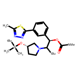 CNC(=O)O[C@H](c1cccc(-c2nnc(C)s2)c1)C(N1CC[C@H](O[Si](C)(C)C(C)(C)C)C1)C(C)(C)C